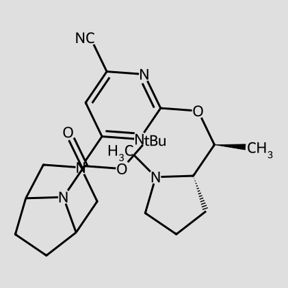 C[C@H](Oc1nc(C#N)cc(N2CC3CCC(C2)N3C(=O)OC(C)(C)C)n1)[C@@H]1CCCN1C